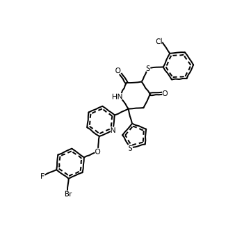 O=C1CC(c2ccsc2)(c2cccc(Oc3ccc(F)c(Br)c3)n2)NC(=O)C1Sc1ccccc1Cl